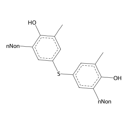 CCCCCCCCCc1cc(Sc2cc(C)c(O)c(CCCCCCCCC)c2)cc(C)c1O